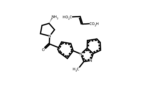 Cc1nc2ccccc2n1-c1ccc(C(=O)N2CC[C@H](N)C2)cc1.O=C(O)/C=C/C(=O)O